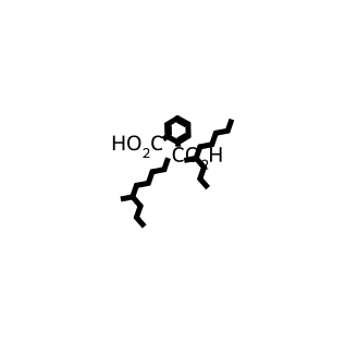 CCCCCC(C)CCC.CCCCCC(C)CCC.O=C(O)c1ccccc1C(=O)O